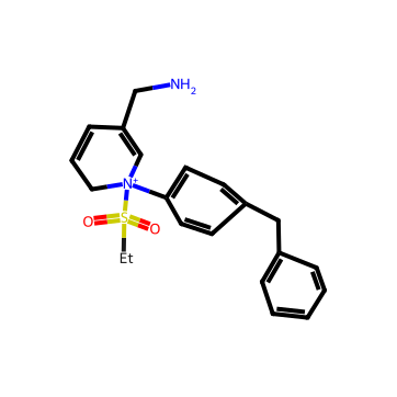 CCS(=O)(=O)[N+]1(c2ccc(Cc3ccccc3)cc2)C=C(CN)C=CC1